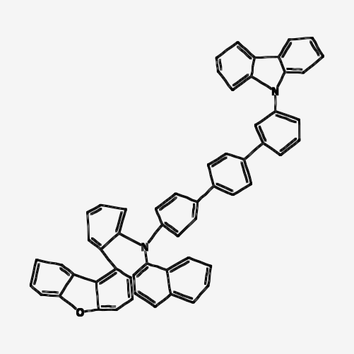 c1cc(-c2ccc(-c3ccc(N(c4ccccc4-c4cccc5oc6ccccc6c45)c4cccc5ccccc45)cc3)cc2)cc(-n2c3ccccc3c3ccccc32)c1